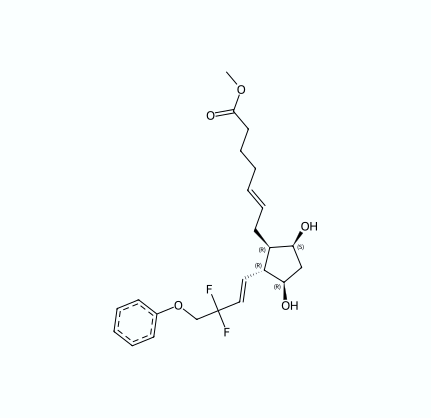 COC(=O)CCCC=CC[C@@H]1[C@@H](C=CC(F)(F)COc2ccccc2)[C@H](O)C[C@@H]1O